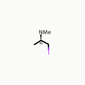 CN[C@H](C)CI